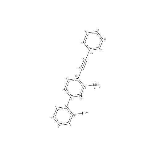 Nc1nc(-c2ccccc2F)ccc1C#Cc1ccccc1